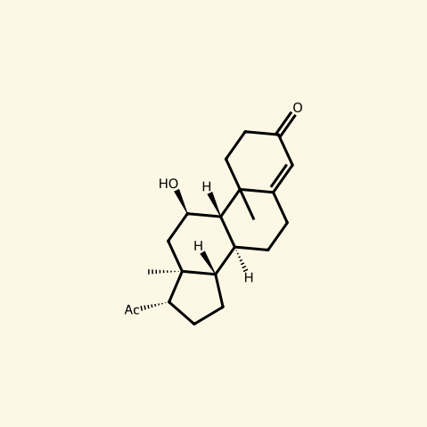 CC(=O)[C@H]1CC[C@H]2[C@@H]3CCC4=CC(=O)CCC4(C)[C@H]3[C@H](O)C[C@]12C